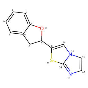 c1ccc2c(c1)CC(c1cn3ccnc3s1)O2